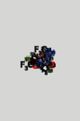 O=C1C=N[N+](Cc2ccc(F)c(C(=O)N3CCn4c(nnc4C(F)(F)F)C3)c2)(OC(=O)C(F)(F)F)c2cc(F)ccc21